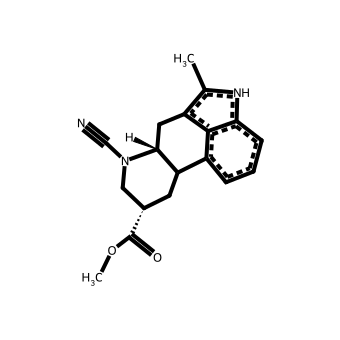 COC(=O)[C@H]1CC2c3cccc4[nH]c(C)c(c34)C[C@H]2N(C#N)C1